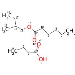 CCCC(=O)O.CCCCCC(=O)OCC(C)CC